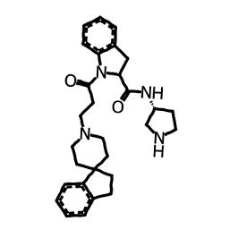 O=C(N[C@@H]1CCNC1)C1Cc2ccccc2N1C(=O)CCN1CCC2(CCc3ccccc32)CC1